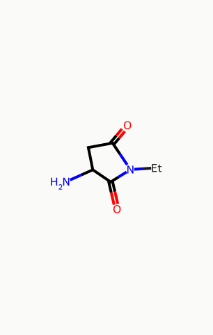 CCN1C(=O)CC(N)C1=O